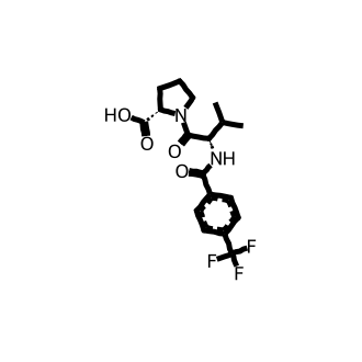 CC(C)[C@H](NC(=O)c1ccc(C(F)(F)F)cc1)C(=O)N1CCC[C@H]1C(=O)O